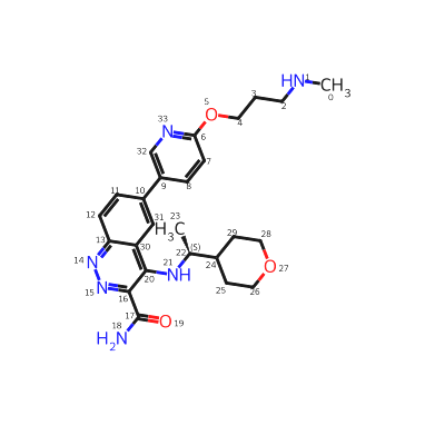 CNCCCOc1ccc(-c2ccc3nnc(C(N)=O)c(N[C@@H](C)C4CCOCC4)c3c2)cn1